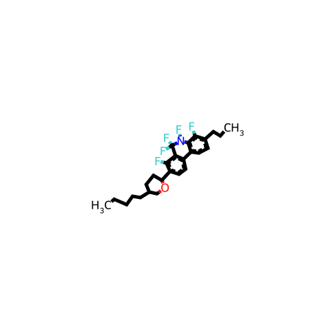 CCCCCC1CCC(c2ccc3c(c2F)C(F)(F)N(F)c2c-3ccc(CCC)c2F)OC1